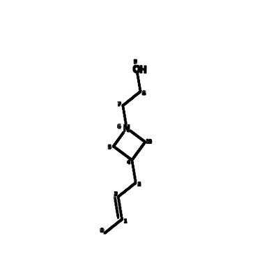 C/C=C/CC1CN(CCO)C1